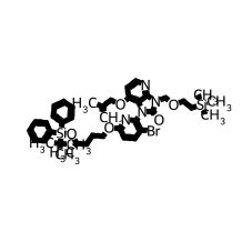 C=C(C)COc1ccnc2c1n(-c1nc(OCCCC(C)O[Si](c3ccccc3)(c3ccccc3)C(C)(C)C)ccc1Br)c(=O)n2COCC[Si](C)(C)C